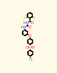 O=C(NC(=O)c1c(F)cccc1F)Nc1cccc(Oc2ccc(S(=O)(=O)c3ccc(Cl)cc3)cc2)c1